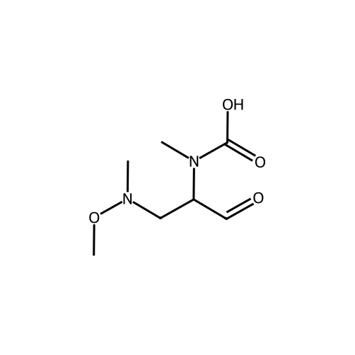 CON(C)CC(C=O)N(C)C(=O)O